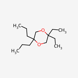 CCCC1(CCC)COC(CC)(CC)CO1